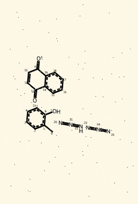 Cc1ccccc1O.O=C1C=CC(=O)c2ccccc21.[N-]=[N+]=N.[N-]=[N+]=[N-]